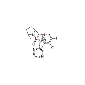 O=C(c1ccc(F)c(Cl)c1Cl)N1C2CCC1c1nnc(-c3cnccn3)n1C2